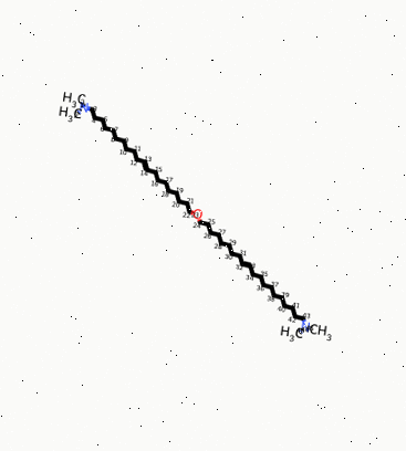 CN(C)CCCCCCCCCCC=CCCCCCCCCOCCCCCCCCC=CCCCCCCCCCCN(C)C